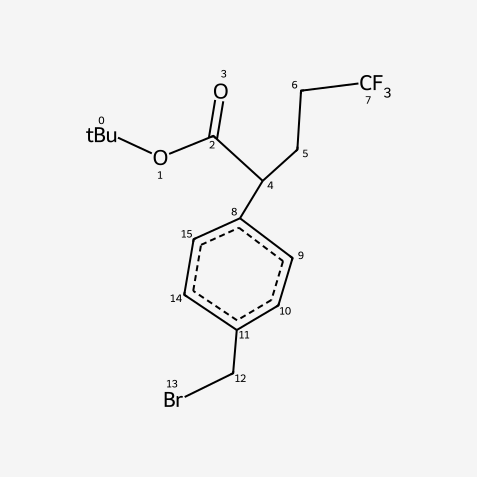 CC(C)(C)OC(=O)C(CCC(F)(F)F)c1ccc(CBr)cc1